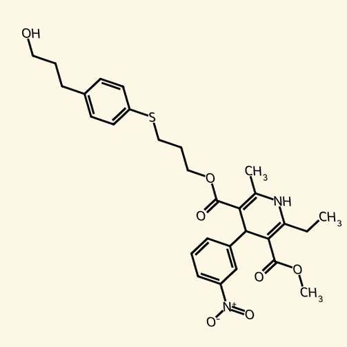 CCC1=C(C(=O)OC)C(c2cccc([N+](=O)[O-])c2)C(C(=O)OCCCSc2ccc(CCCO)cc2)=C(C)N1